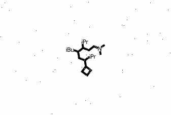 CCC(C)C(CC(C(C)C)C1CCC1)C(CCN(C)C)C(C)C